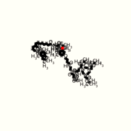 Cc1cc(OCCCC(=O)NCCNC(=O)C(CS(=O)(=O)O)NC(=O)CC[C@H](C(=O)OC(C)(C)C)N2CCN(CC(=O)OC(C)(C)C)CCN(CC(=O)OC(C)(C)C)CC2)cc(C)c1S(=O)(=O)N[C@H](CNC(=O)CCCCc1ccc2c(n1)N(S(=O)(=O)c1c(C)c(C)c3c(c1C)CC(C)(C)O3)CCC2)C(=O)OC(C)(C)C